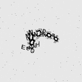 CCn1c(=O)[nH]c2cc3c(N4CCN(C(=O)Nc5ccc(Oc6ccccc6)cc5)CC4)ncnc3cc21